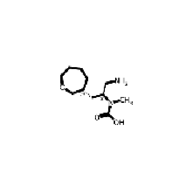 CN(C(=O)O)[C@H](CN)C[C@H]1CCCCOC1